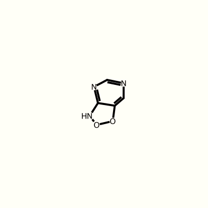 c1ncc2c(n1)NOO2